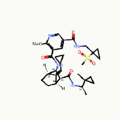 COc1ncc(C(=O)NCC2(S(C)(=O)=O)CC2)cc1C(=O)N[C@H]1[C@@H](C(=O)N[C@H](C)C2(C)CC2)[C@H]2CC[C@@H]1/C2=C\C1CC1